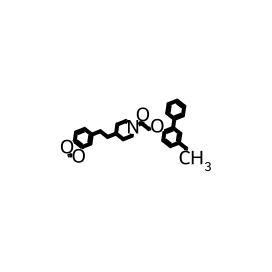 CCc1ccc(OCC(=O)N2CCC(CCc3ccc4c(c3)OCO4)CC2)c(-c2ccccc2)c1